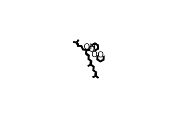 C1CCC(OC2CCCCO2)OC1.CC(C)=CCC/C(C)=C/CC=CC(C)(O)CCC=C(C)C